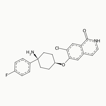 N[C@]1(c2ccc(F)cc2)CC[C@H](Oc2cc3cc[nH]c(=O)c3cc2Cl)CC1